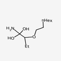 CCCCCCCCOC(CC)C(N)(O)O